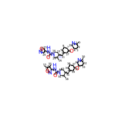 Cc1ccc(Oc2cccc(/C=C3\CCN(C(=O)Nc4cnoc4)CC3C)c2)cn1.Cc1ccc(Oc2cccc(C=C3CCN(C(=O)Nc4noc(C)c4C)CC3C)c2)cn1